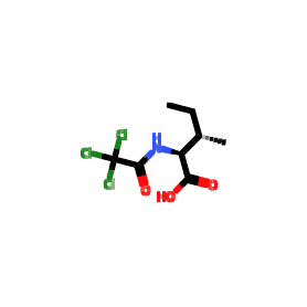 CC[C@H](C)[C@H](NC(=O)C(Cl)(Cl)Cl)C(=O)O